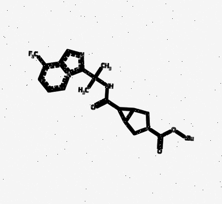 CC(C)(C)OC(=O)N1CC2C(C1)C2C(=O)NC(C)(C)c1ncc2c(C(F)(F)F)cccn12